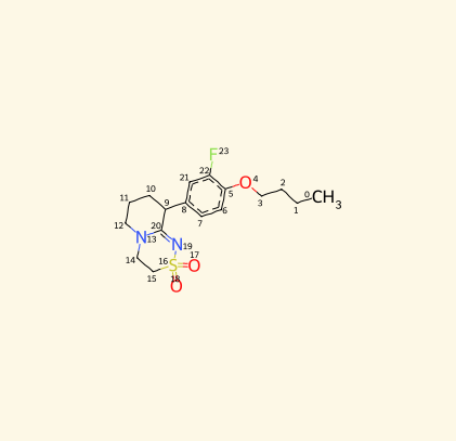 CCCCOc1ccc(C2CCCN3CCS(=O)(=O)N=C23)cc1F